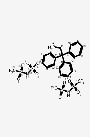 O=S(=O)(NS(=O)(=O)C(F)(F)F)C(F)(F)F.O=S(=O)(NS(=O)(=O)C(F)(F)F)C(F)(F)F.PCC(c1ccccc1)(c1ccccc1)c1ccccc1